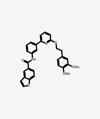 COc1ccc(CCOc2cccc(-c3cccc(NC(=O)c4ccc5sccc5c4)c3)n2)cc1OC